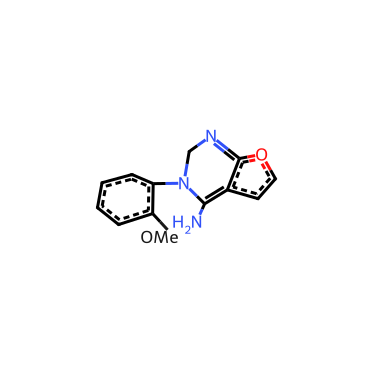 COc1ccccc1N1CN=c2occc2=C1N